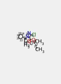 CC#CC(C)(C)OC(=O)c1c(Cl)ncn1[C@H](C)c1ccccc1